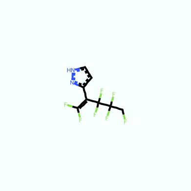 FCC(F)(F)C(F)(F)C(=C(F)F)c1cc[nH]n1